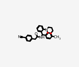 Cc1ccc(C(NC(=O)Cc2ccc(C#N)cc2)c2ccccc2N2CCCCC2)cc1